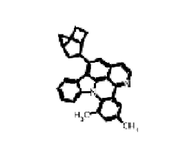 Cc1cc(C)c2c(c1)c1nccc3cc(C4CC5CC56CCC46)c4c5ccccc5n2c4c31